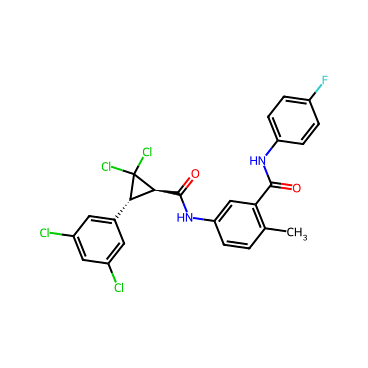 Cc1ccc(NC(=O)[C@H]2[C@H](c3cc(Cl)cc(Cl)c3)C2(Cl)Cl)cc1C(=O)Nc1ccc(F)cc1